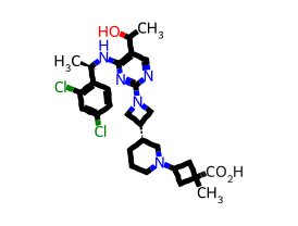 CC(O)c1cnc(N2CC([C@H]3CCCN(C4CC(C)(C(=O)O)C4)C3)C2)nc1N[C@H](C)c1ccc(Cl)cc1Cl